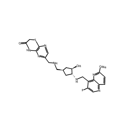 COc1ccc2ncc(F)c(CN[C@@H]3C[C@@H](CNCc4cnc5c(n4)NC(=O)CS5)C[C@H]3O)c2n1